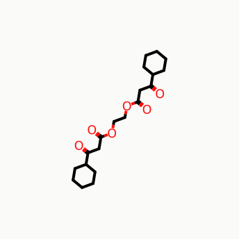 O=C(CC(=O)C1CCCCC1)OCCOC(=O)CC(=O)C1CCCCC1